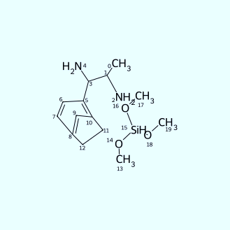 CC(N)C(N)c1ccc2cc1CC2.CO[SiH](OC)OC